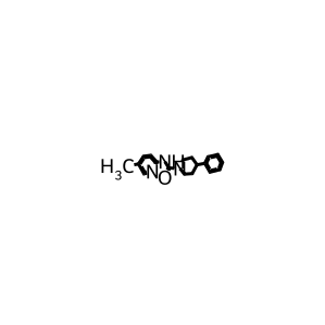 Cc1ccc(NC(=O)N2CCC(c3ccccc3)CC2)nc1